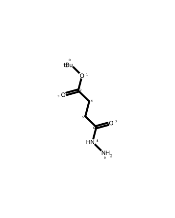 CC(C)(C)OC(=O)CCC(=O)NN